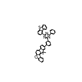 CC1(C)c2cc(-c3cccc(-c4nc(-c5ccccc5)nc(-c5cccc6sc7ccccc7c56)n4)c3)ccc2-c2ccc3oc4ccccc4c3c21